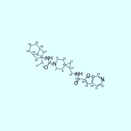 CCC1(NC(=O)N2CCC3(CC2)CC3CNC(=O)c2cc3ccncc3o2)CC2CCCC(C2)C1